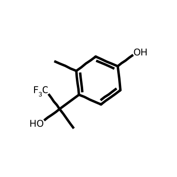 Cc1cc(O)ccc1C(C)(O)C(F)(F)F